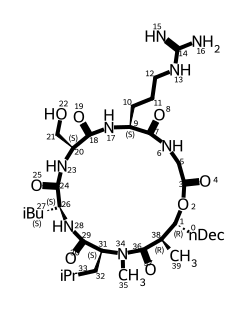 CCCCCCCCCC[C@H]1OC(=O)CNC(=O)[C@H](CCCNC(=N)N)NC(=O)[C@H](CO)NC(=O)[C@H]([C@@H](C)CC)NC(=O)[C@H](CC(C)C)N(C)C(=O)[C@@H]1C